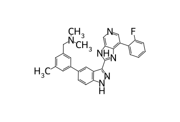 Cc1cc(CN(C)C)cc(-c2ccc3[nH]nc(-c4nc5c(-c6ccccc6F)cncc5[nH]4)c3c2)c1